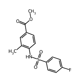 COC(=O)c1ccc(NS(=O)(=O)c2ccc(F)cc2)c(C)c1